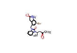 CCCC(CC(=O)OC)n1c(=O)n(Cc2cc(Br)cc3c2CC(=O)N3)c2ccccc21